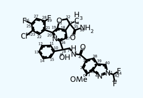 COc1cc(C(=O)NC[C@@](O)(c2ccccc2)c2cc3c(c(-c4cc(Cl)c(F)cc4F)n2)OC[C@]3(C)C(N)=O)cc2cn(C(F)F)nc12